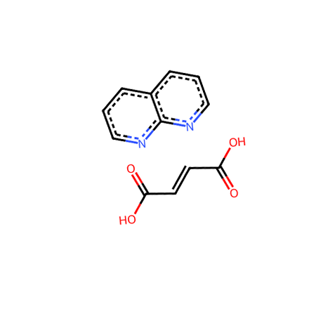 O=C(O)C=CC(=O)O.c1cnc2ncccc2c1